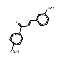 COc1cccc(/C=C/C(=O)c2ccc(C(=O)O)cc2)c1